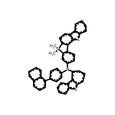 C[Si]1(C)c2cc(N(c3ccc(-c4cccc5ccccc45)cc3)c3cccc4sc5ccccc5c34)ccc2-c2c1ccc1c2sc2ccccc21